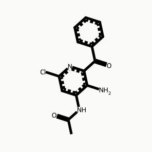 CC(=O)Nc1cc(Cl)nc(C(=O)c2ccccc2)c1N